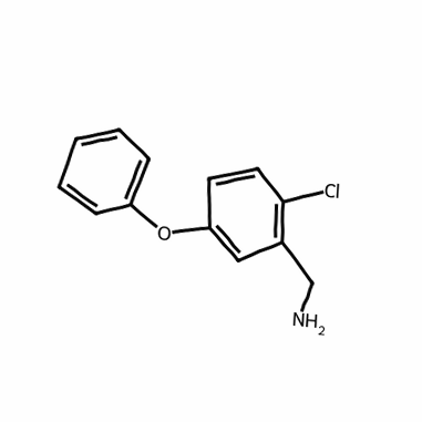 NCc1cc(Oc2ccccc2)ccc1Cl